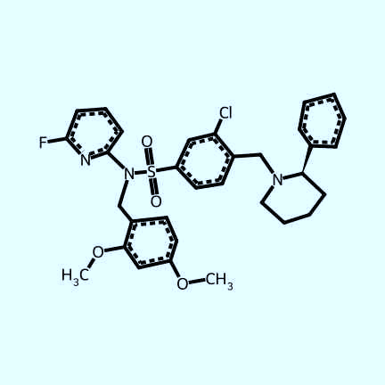 COc1ccc(CN(c2cccc(F)n2)S(=O)(=O)c2ccc(CN3CCCC[C@@H]3c3ccccc3)c(Cl)c2)c(OC)c1